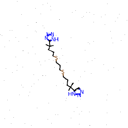 CC(C)(CCCSCCCSCCCC(C)(C)c1nnn[nH]1)c1cnn[nH]1